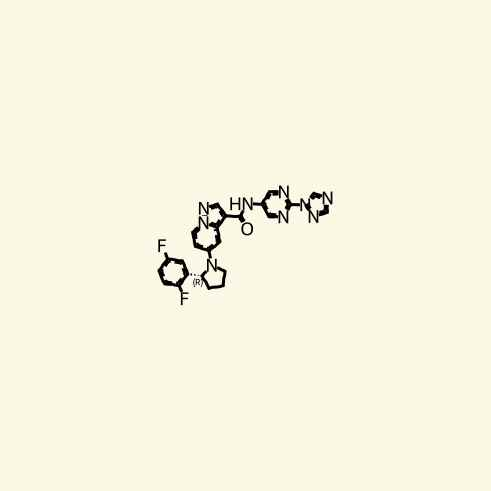 O=C(Nc1cnc(-n2cncn2)nc1)c1cnn2ccc(N3CCC[C@@H]3c3cc(F)ccc3F)cc12